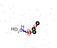 O=C(O)NCCC[C@H]1OC[C@H](c2cccc3cc(OCc4ccccc4)ccc32)CO1